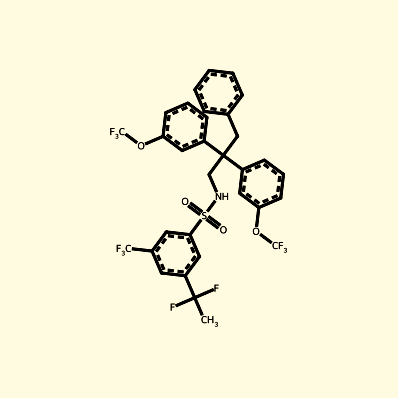 CC(F)(F)c1cc(C(F)(F)F)cc(S(=O)(=O)NCC(Cc2ccccc2)(c2cccc(OC(F)(F)F)c2)c2cccc(OC(F)(F)F)c2)c1